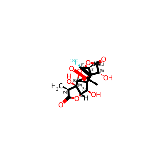 C[C@@H]1C(=O)O[C@H]2[C@H](O)C34C5OC(=O)[C@@]3(OC3OC(=O)[C@H](O)C34[C@H](C(C)(C)C)[C@@H]5[18F])[C@@]12O